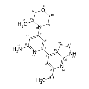 COc1cc(-c2cc(N3CCOCC3C)cc(N)n2)c2cc[nH]c2n1